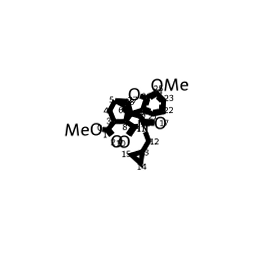 COC(=O)C1CC2C=CC13C(=O)N(CC1CC1)C(=O)CC31c3cccc(OC)c3OC21